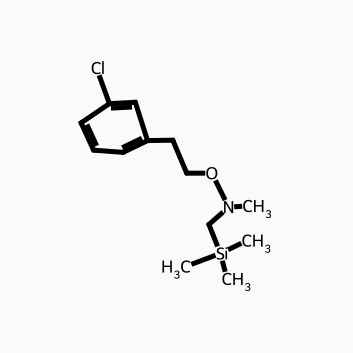 CN(C[Si](C)(C)C)OCCc1cccc(Cl)c1